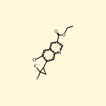 CCOC(=O)c1cnc2cc(C3CC3(F)F)c(Cl)cc2c1